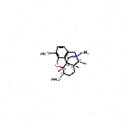 COc1ccc2c3c1O[C@H]1[C@H](OC)CC[C@H]4[C@@H](C2)N(C)CC[C@@]341